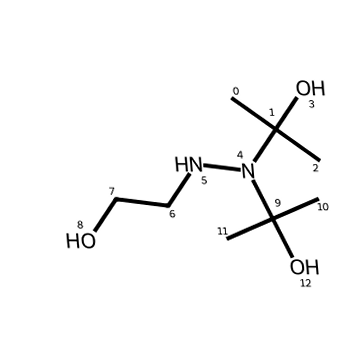 CC(C)(O)N(NCCO)C(C)(C)O